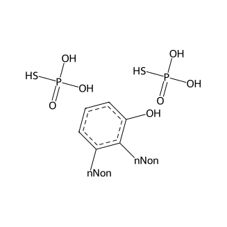 CCCCCCCCCc1cccc(O)c1CCCCCCCCC.O=P(O)(O)S.O=P(O)(O)S